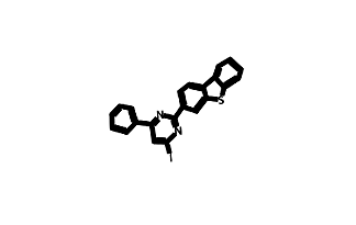 Ic1cc(-c2ccccc2)nc(-c2ccc3c(c2)sc2ccccc23)n1